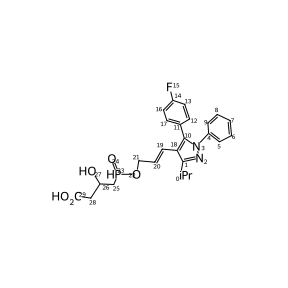 CC(C)c1nn(-c2ccccc2)c(-c2ccc(F)cc2)c1C=CCO[PH](=O)CC(O)CC(=O)O